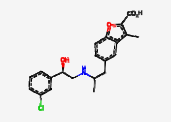 Cc1c(C(=O)O)oc2ccc(CC(C)NC[C@H](O)c3cccc(Cl)c3)cc12